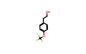 OC[CH]c1ccc(OC(F)(F)F)cc1